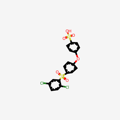 O=S(=O)(O)c1ccc(Oc2ccc(S(=O)(=O)c3cc(Cl)ccc3Cl)cc2)cc1